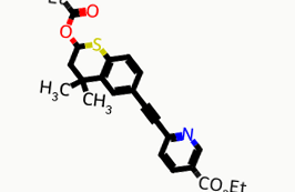 CCOC(=O)c1ccc(C#Cc2ccc3c(c2)C(C)(C)CC(OC(=O)CC)S3)nc1